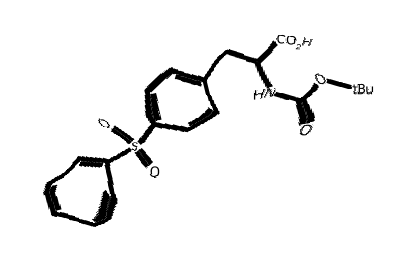 CC(C)(C)OC(=O)NC(Cc1ccc(S(=O)(=O)c2ccccc2)cc1)C(=O)O